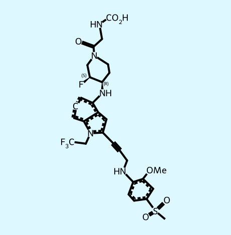 COc1cc(S(C)(=O)=O)ccc1NCC#Cc1cc2c(N[C@@H]3CCN(C(=O)CNC(=O)O)C[C@@H]3F)cccc2n1CC(F)(F)F